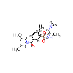 CCCN(CCC)C(=O)c1ccc(C)c(S(=O)(=O)N[C@@H](C)CN2CC2)c1